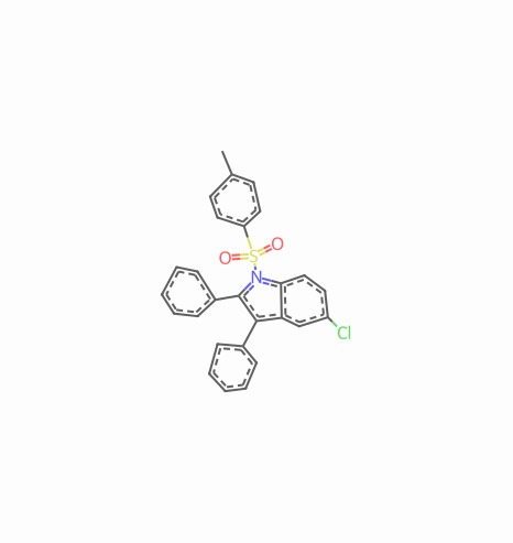 Cc1ccc(S(=O)(=O)n2c(-c3ccccc3)c(-c3ccccc3)c3cc(Cl)ccc32)cc1